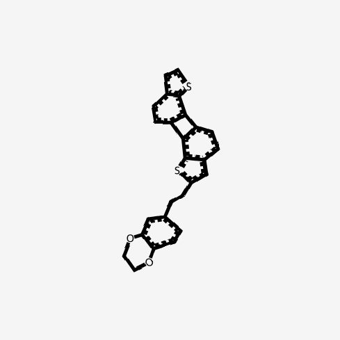 c1cc2ccc3c(c2s1)-c1ccc2cc(CCc4ccc5c(c4)OCCO5)sc2c1-3